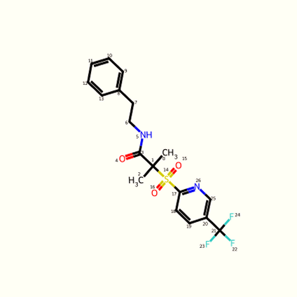 CC(C)(C(=O)NCCc1ccccc1)S(=O)(=O)c1ccc(C(F)(F)F)cn1